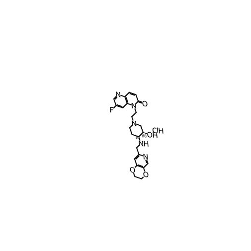 Cl.O=c1ccc2ncc(F)cc2n1CCN1CC[C@H](NCc2cc3c(cn2)OCCO3)[C@H](O)C1